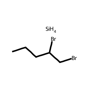 CCCC(Br)CBr.[SiH4]